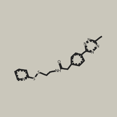 Cc1nnc(-c2ccc(CC(=O)NCCSSc3ccccn3)cc2)nn1